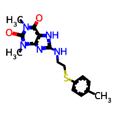 Cc1ccc(SCCNc2nc3c([nH]2)c(=O)n(C)c(=O)n3C)cc1